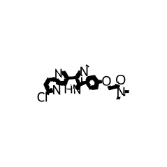 CN/C=C(\C(=N)c1ccc(OCC(=O)N(C)C)cc1)c1cnc2ccc(Cl)nc2c1